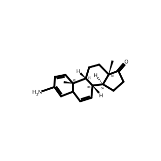 C[C@]12C=CC(N)=CC1C=C[C@@H]1[C@H]2CC[C@]2(C)C(=O)CC[C@@H]12